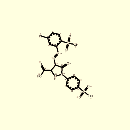 [NH]c1ccc(S(=O)(=O)O)c(N=NC2C(=O)N(c3ccc(S(=O)(=O)O)cc3)NC2C(=O)O)c1